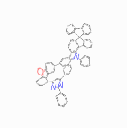 c1ccc(-c2cc(-c3cccc4oc5ccc(-c6ccc7c(c6)c6ccc8c(c6n7-c6ccccc6)-c6ccccc6C86c7ccccc7-c7ccccc76)cc5c34)nc(-c3ccccc3)n2)cc1